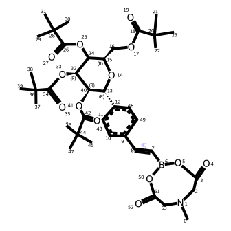 CN1CC(=O)OB(/C=C/c2ccc([C@H]3O[C@H](COC(=O)C(C)(C)C)C(OC(=O)C(C)(C)C)[C@H](OC(=O)C(C)(C)C)[C@@H]3OC(=O)C(C)(C)C)cc2)OC(=O)C1